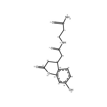 NC(=O)CCNC(=O)CC1CC(=O)Oc2cc(O)ccc21